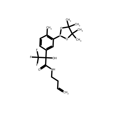 C=CCCNC(=O)C(O)(c1ccc(C)c(B2OC(C)(C)C(C)(C)O2)c1)C(F)(F)F